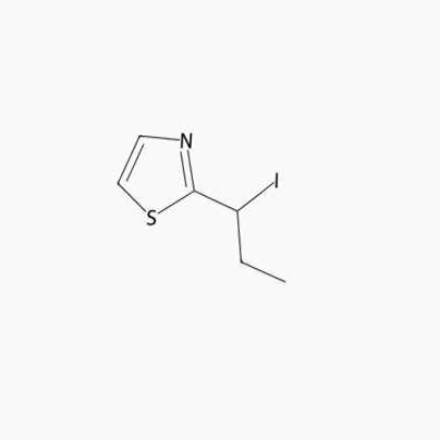 CCC(I)c1nccs1